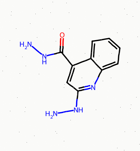 NNC(=O)c1cc(NN)nc2ccccc12